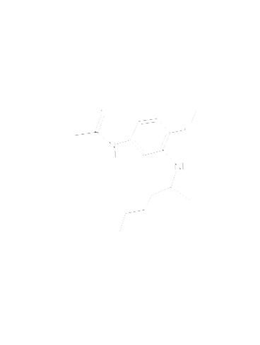 CCCCC(C)Nc1cc(NC(C)=O)ccc1OC